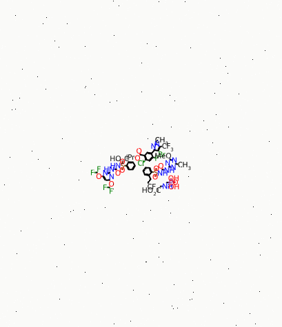 CC(C)OC(=O)c1cc(-c2nn(C)c(C(F)(F)F)c2Br)c(F)cc1Cl.COc1nc(C)nc(NC(=O)NS(=O)(=O)c2ccccc2CCC(F)(F)F)n1.O=C(Nc1nc(OC(F)F)cc(OC(F)F)n1)NS(=O)(=O)c1ccccc1C(=O)O.O=C(O)CNCP(=O)(O)O